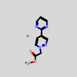 COC(=O)C[n+]1ccc(-c2ncccn2)cn1.[Br-]